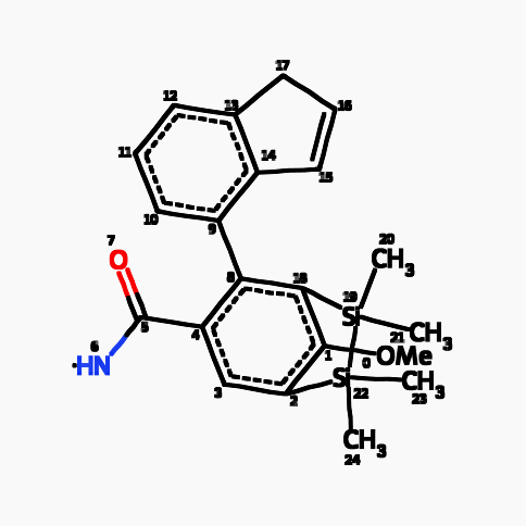 COc1c2cc(C([NH])=O)c(-c3cccc4c3C=CC4)c1[Si](C)(C)[Si]2(C)C